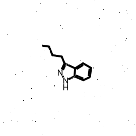 CCCCc1n[nH]c2cc[c]cc12